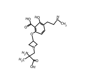 CBCCc1ccc(OC2CN(CC(C)(N)C(=O)O)C2)c(C(=O)O)c1O